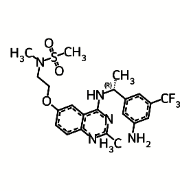 Cc1nc(N[C@H](C)c2cc(N)cc(C(F)(F)F)c2)c2cc(OCCN(C)S(C)(=O)=O)ccc2n1